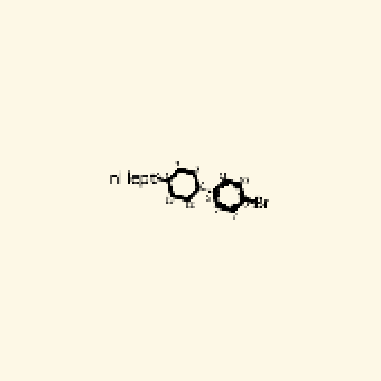 CCCCCCC[C@H]1CC[C@H](c2ccc(Br)cc2)CC1